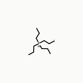 CCC[PH](CCC)(CCC)CCI